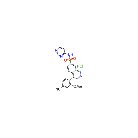 COc1cc(C#N)ccc1-c1cncc2cc(S(=O)(=O)Nc3ccncn3)ccc12.Cl